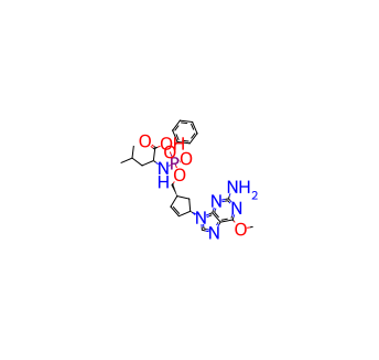 COc1nc(N)nc2c1ncn2[C@H]1C=C[C@@H](COP(=O)(NC(CC(C)C)C(=O)O)Oc2ccccc2)C1